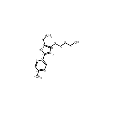 CCc1oc(-c2ccc(C)cc2)nc1CCCCCl